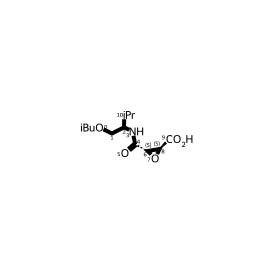 CC(C)COCC(NC(=O)[C@H]1O[C@@H]1C(=O)O)C(C)C